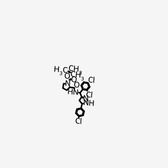 CC(C)(C)OC(=O)N1CCCC1C(=O)NC(C1=NNC(c2ccc(Cl)cc2)C1)c1ccc(Cl)cc1Cl